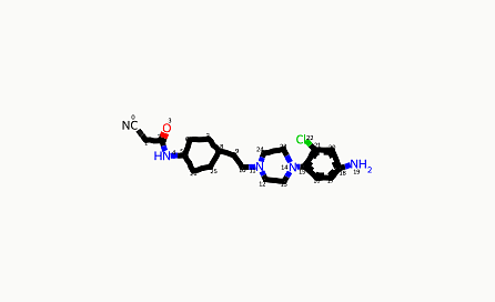 N#CCC(=O)NC1CCC(CCN2CCN(c3ccc(N)cc3Cl)CC2)CC1